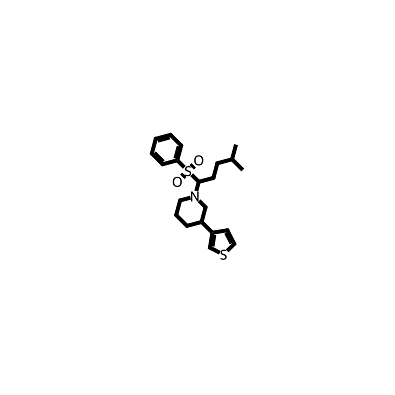 CC(C)CCC(N1CCCC(c2ccsc2)C1)S(=O)(=O)c1ccccc1